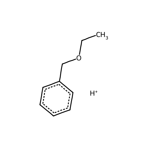 CCOCc1ccccc1.[H+]